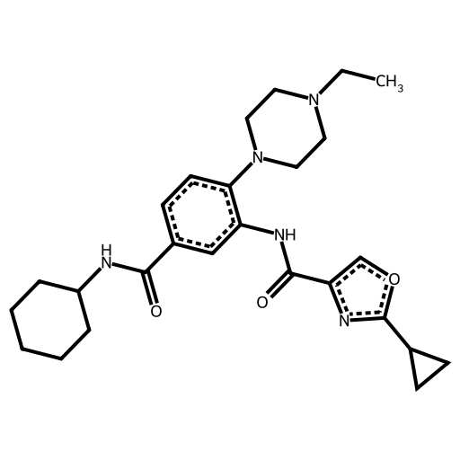 CCN1CCN(c2ccc(C(=O)NC3CCCCC3)cc2NC(=O)c2coc(C3CC3)n2)CC1